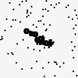 FC(F)(F)c1ccc(Nc2nccc3c(-c4cccc(OCc5ccccc5)c4)cccc23)cc1